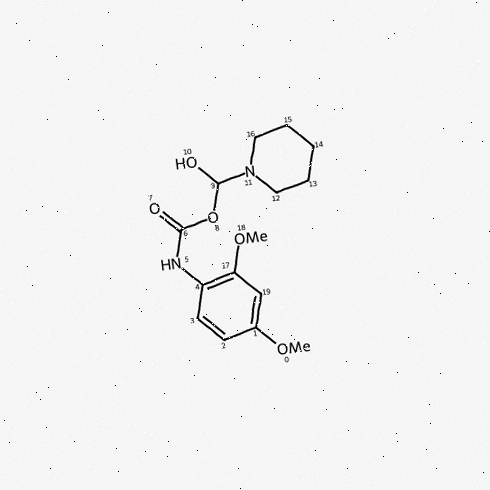 COc1ccc(NC(=O)OC(O)N2CCCCC2)c(OC)c1